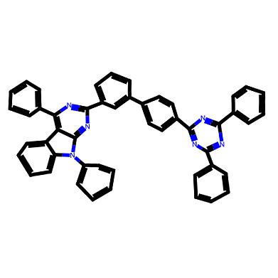 c1ccc(-c2nc(-c3ccccc3)nc(-c3ccc(-c4cccc(-c5nc(-c6ccccc6)c6c7ccccc7n(-c7ccccc7)c6n5)c4)cc3)n2)cc1